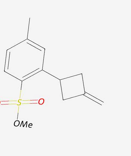 C=C1CC(c2cc(C)ccc2S(=O)(=O)OC)C1